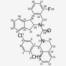 Cc1ccc(Cl)cc1C1c2ccccc2CCN1CC(=O)N(Cc1ccccc1F)C1Cc2ccccc2C1